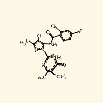 Cc1nn(-c2nc(C)c(C)c(=O)[nH]2)c(NC(=O)c2ccc(F)cc2Cl)c1Cl